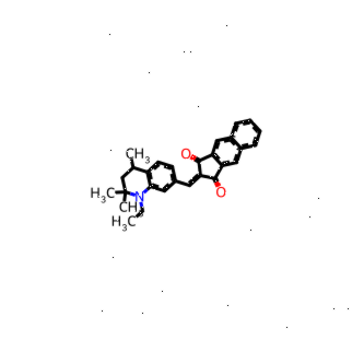 CCN1c2cc(C=C3C(=O)c4cc5ccccc5cc4C3=O)ccc2C(C)CC1(C)C